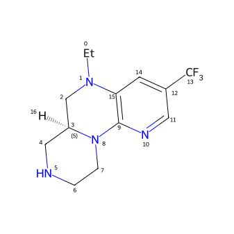 CCN1C[C@@H]2CNCCN2c2ncc(C(F)(F)F)cc21